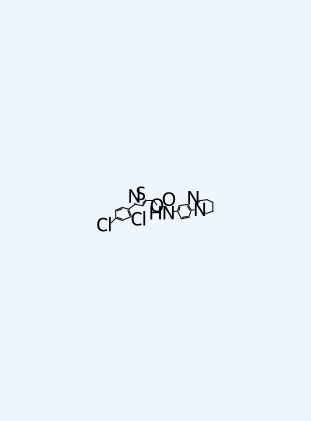 O=C(Nc1ccc2c(c1)nc1n2CCCC1)OCc1cc(-c2ccc(Cl)cc2Cl)ns1